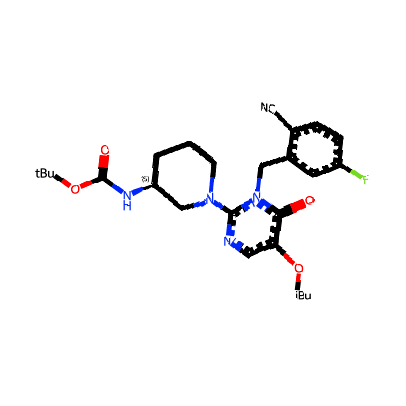 CCC(C)Oc1cnc(N2CCC[C@H](NC(=O)OC(C)(C)C)C2)n(Cc2cc(F)ccc2C#N)c1=O